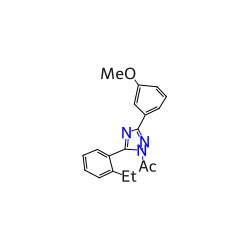 CCc1ccccc1-c1nc(-c2cccc(OC)c2)nn1C(C)=O